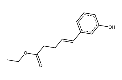 CCOC(=O)CCC=Cc1cccc(O)c1